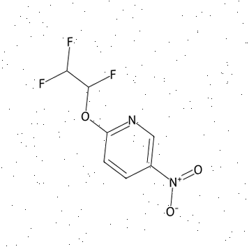 O=[N+]([O-])c1ccc(OC(F)C(F)F)nc1